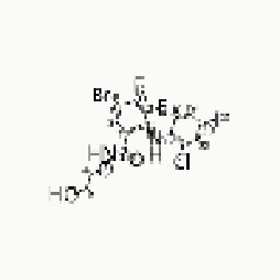 O=C(NOCCO)c1cc(Br)c(F)c(F)c1Nc1ccc(I)cc1Cl